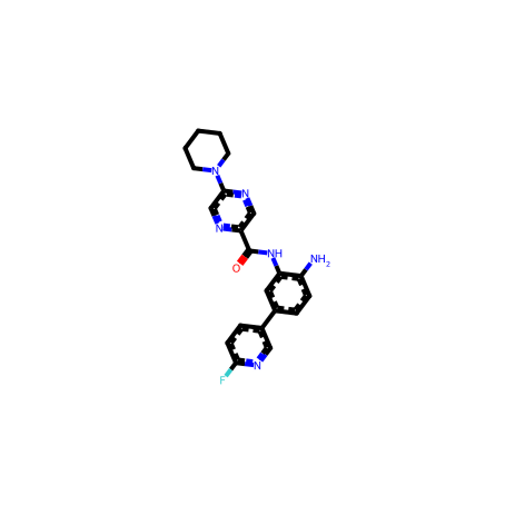 Nc1ccc(-c2ccc(F)nc2)cc1NC(=O)c1cnc(N2CCCCC2)cn1